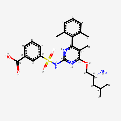 Cc1cccc(C)c1-c1nc(NS(=O)(=O)c2cccc(C(=O)O)c2)nc(OC[C@H](N)CC(C)C)c1C